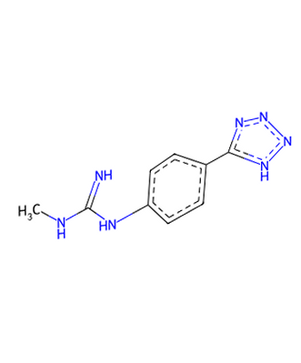 CNC(=N)Nc1ccc(-c2nnn[nH]2)cc1